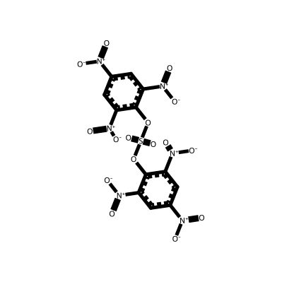 O=[N+]([O-])c1cc([N+](=O)[O-])c(OS(=O)(=O)Oc2c([N+](=O)[O-])cc([N+](=O)[O-])cc2[N+](=O)[O-])c([N+](=O)[O-])c1